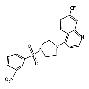 O=[N+]([O-])c1cccc(S(=O)(=O)N2CCN(c3ccnc4cc(C(F)(F)F)ccc34)CC2)c1